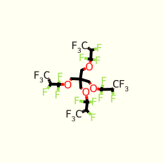 FC(C(F)(F)F)C(F)(F)OCC(COC(F)(F)C(F)C(F)(F)F)(COC(F)(F)C(F)C(F)(F)F)COC(F)(F)C(F)C(F)(F)F